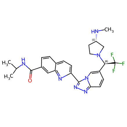 CN[C@H]1CCN([C@H](c2ccc3nnc(-c4ccc5ccc(C(=O)NC(C)C)cc5n4)n3c2)C(F)(F)F)C1